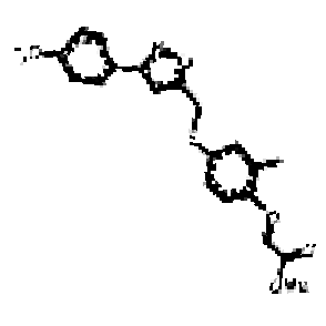 COC(=O)COc1ccc(SCc2cc(-c3ccc(C(F)(F)F)cc3)no2)cc1C